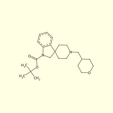 CC(C)(C)OC(=O)N1CC2(CCN(CC3CCOCC3)CC2)c2ccccc21